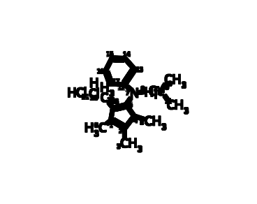 CC1=C(C)C(C)C([N]([Hf]=[Ge]([CH3])[CH3])c2ccccc2)=C1C.Cl.Cl